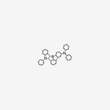 c1ccc(N(c2ccccc2)c2ccc3c(c2)-c2cccc4c2B3C2c3ccccc3N(c3ccccc3)C42)cc1